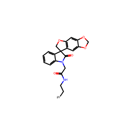 CC(C)CCNC(=O)CN1C(=O)C2(COc3cc4c(cc32)OCO4)c2ccccc21